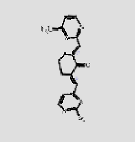 O=C1/C(=C/c2ccnc(C(F)(F)F)n2)CCC/C1=C\c1nccc(C(F)(F)F)n1